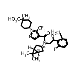 CC1(C)[C@@H]2C[C@H](N(CC(N)c3c(F)cccc3Cl)C(=O)c3cnn([C@H]4CC[C@](C)(C(=O)O)CC4)c3C(F)(F)F)C[C@@H]21